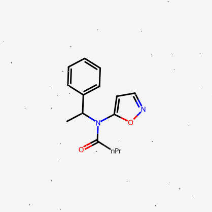 CCCC(=O)N(c1ccno1)C(C)c1ccccc1